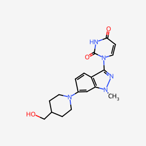 Cn1nc(-n2ccc(=O)[nH]c2=O)c2ccc(N3CCC(CO)CC3)cc21